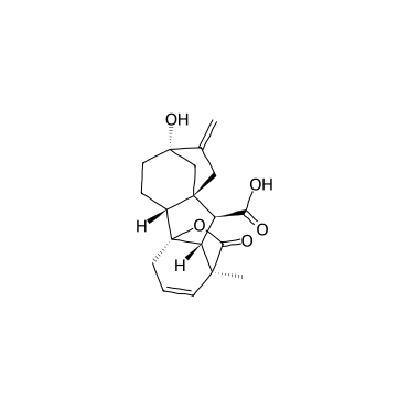 C=C1C[C@]23C[C@@]1(O)CC[C@H]2[C@@]12CC=C[C@](C)(C(=O)O1)[C@H]2[C@@H]3C(=O)O